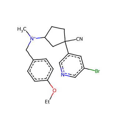 CCOc1ccc(C[N+](C)C2CCC(C#N)(c3cncc(Br)c3)C2)cc1